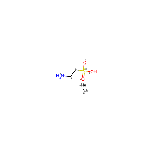 NCCS(=O)(=O)O.[Na].[Na]